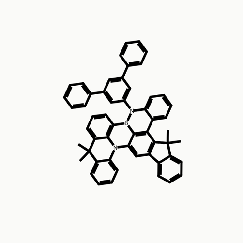 CC1(C)c2ccccc2N2c3cc4c(c5c3B(c3cccc1c32)N(c1cc(-c2ccccc2)cc(-c2ccccc2)c1)c1ccccc1-5)C(C)(C)c1ccccc1-4